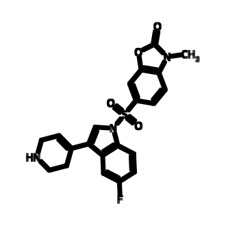 Cn1c(=O)oc2cc(S(=O)(=O)n3cc(C4=CCNCC4)c4cc(F)ccc43)ccc21